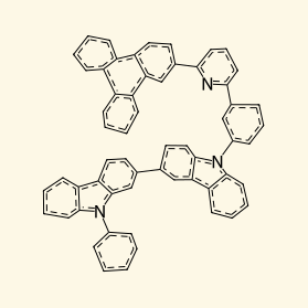 c1ccc(-n2c3ccccc3c3ccc(-c4ccc5c(c4)c4ccccc4n5-c4cccc(-c5cccc(-c6ccc7c8ccccc8c8ccccc8c7c6)n5)c4)cc32)cc1